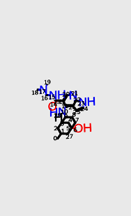 CC1C[C@H]2C[C@](O)(CC[C@@H]2Nc2c(C(=O)NCN(C)C)cnc3[nH]ccc23)C1